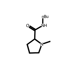 CCCCNC(=O)C1CCCN1C